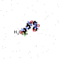 COc1ncc(N2CCc3nc(OC4CCN(C(=O)N5CCOCC5)C4)ncc3C2)cc1C(F)(F)F